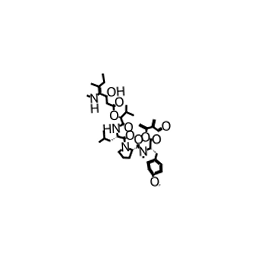 C=C(C=O)C(=C)OC(=O)[C@H](Cc1ccc(OC)cc1)N(C)C(=O)[C@@H]1CCCN1C(=O)[C@H](CC(C)C)NC(=O)[C@@H](OC(=O)C[C@H](O)/C(NC)=C(/C)CC)C(C)C